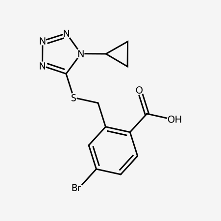 O=C(O)c1ccc(Br)cc1CSc1nnnn1C1CC1